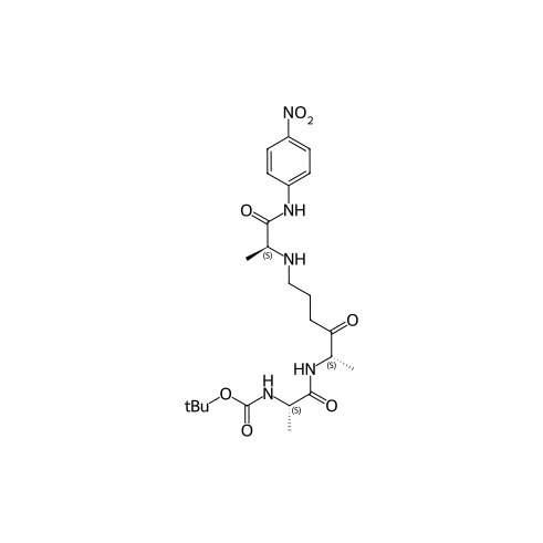 C[C@H](NC(=O)[C@H](C)NC(=O)OC(C)(C)C)C(=O)CCCN[C@@H](C)C(=O)Nc1ccc([N+](=O)[O-])cc1